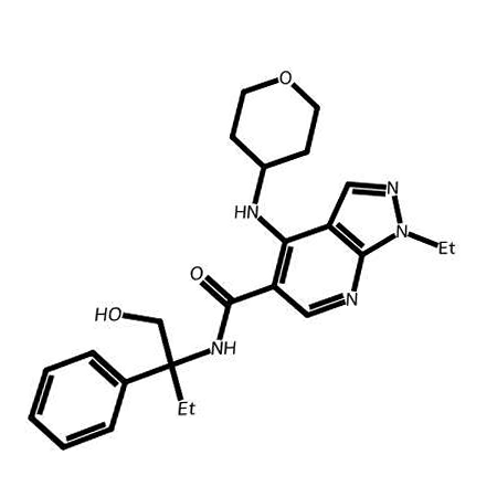 CCn1ncc2c(NC3CCOCC3)c(C(=O)NC(CC)(CO)c3ccccc3)cnc21